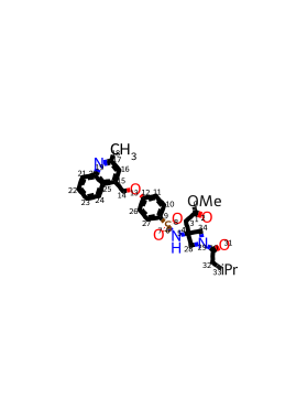 COC(=O)CC1(NS(=O)(=O)c2ccc(OCc3cc(C)nc4ccccc34)cc2)CN(C(=O)CC(C)C)C1